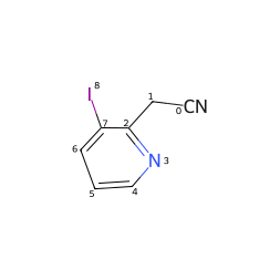 N#CCc1ncccc1I